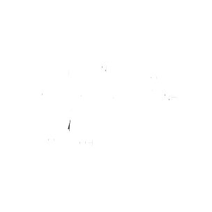 CC1(C)[C@H](C(=O)O)[C@H]1c1ncc(S(N)(=O)=O)s1